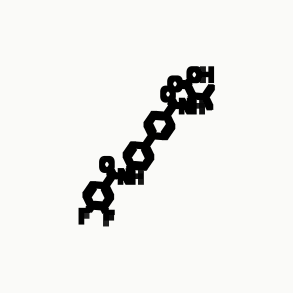 CC(C)[C@@H](NC(=O)c1ccc(-c2ccc(NC(=O)c3ccc(F)c(F)c3)cc2)cc1)C(=O)O